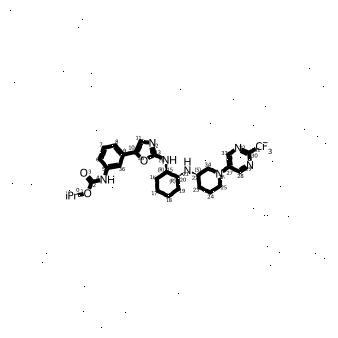 CC(C)OC(=O)Nc1cccc(-c2cnc(N[C@@H]3CCCC[C@H]3N[C@H]3CCCN(c4cnc(C(F)(F)F)nc4)C3)o2)c1